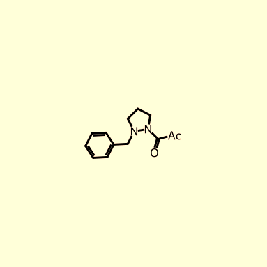 CC(=O)C(=O)N1CCCN1Cc1ccccc1